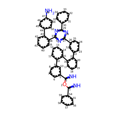 N=C(OC(=N)c1cccc(-c2ccccc2-c2ccccc2-c2cccc(-c3nc(-c4ccccc4)nc(-c4ccccc4-c4ccc(N)cc4)n3)c2)c1)c1ccccc1